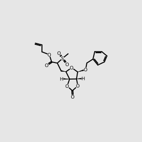 C=CCOC(=O)C(C[C@H]1O[C@@H](OCc2ccccc2)[C@@H]2OC(=O)O[C@@H]21)S(C)(=O)=O